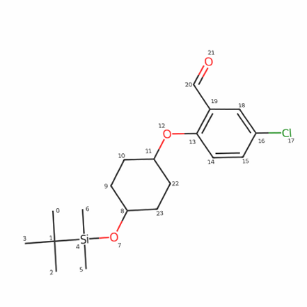 CC(C)(C)[Si](C)(C)OC1CCC(Oc2ccc(Cl)cc2C=O)CC1